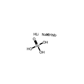 [KH].[LiH].[NaH].[Nb].[O]=[Sb]([OH])([OH])[OH]